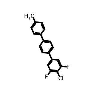 Cc1ccc(-c2ccc(-c3cc(F)c(Cl)c(F)c3)cc2)cc1